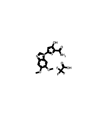 COc1cc2ncn(-c3cc(O)c(C(N)=O)s3)c2cc1OC.O=C(O)C(F)(F)F